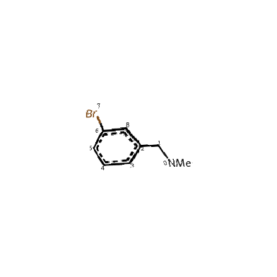 C[N]Cc1cccc(Br)c1